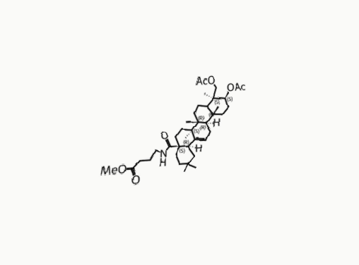 COC(=O)CCCNC(=O)[C@]12CCC(C)(C)C[C@@H]1C1=CC[C@@H]3[C@@]4(C)CC[C@H](OC(C)=O)[C@](C)(COC(C)=O)C4CC[C@@]3(C)[C@]1(C)CC2